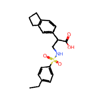 CCc1ccc(S(=O)(=O)NCC(C(=O)O)c2ccc3c(c2)CCC3)cc1